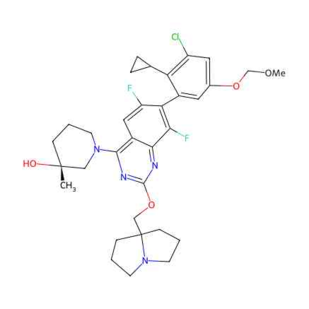 COCOc1cc(Cl)c(C2CC2)c(-c2c(F)cc3c(N4CCC[C@@](C)(O)C4)nc(OCC45CCCN4CCC5)nc3c2F)c1